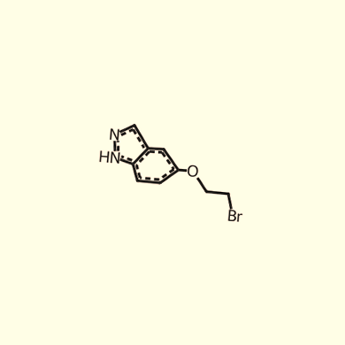 BrCCOc1ccc2[nH]ncc2c1